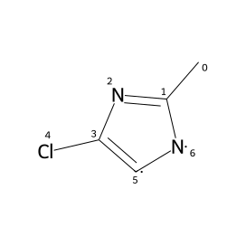 CC1=NC(Cl)=[C][N]1